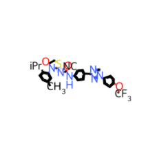 Cc1ccc(C(C)C)c(N2C(=O)CS/C2=N\C(=O)Nc2ccc(-c3ncn(-c4ccc(OC(F)(F)F)cc4)n3)cc2C#N)c1